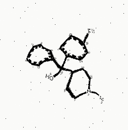 CC(=O)N1CCC(C(O)(c2ccccc2)c2ccc(F)cc2)CC1